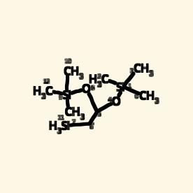 C[Si](C)(C)OC([CH][SiH3])O[Si](C)(C)C